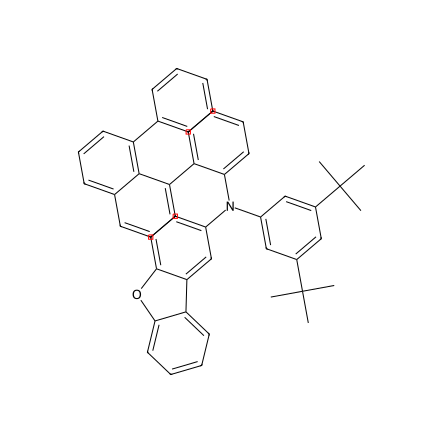 CC(C)(C)c1cc(N(c2ccc3oc4ccccc4c3c2)c2ccccc2-c2cccc3cccc(-c4ccccc4)c23)cc(C(C)(C)C)c1